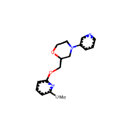 COc1cccc(OCC2CN(c3cccnc3)CCO2)n1